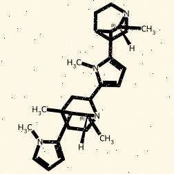 C[C@@H]1C(c2ccc(C3CC4(C)CCN3[C@H](C)C4c3cccn3C)n2C)C2CCN1CC2